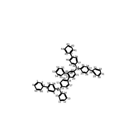 c1ccc(-c2ccc(N(c3ccccc3)c3ccc(-c4ccc(N(c5ccc(-c6ccccc6)cc5)c5ccc(-c6ccccc6)cc5)cc4-c4ccccc4)cc3)cc2)cc1